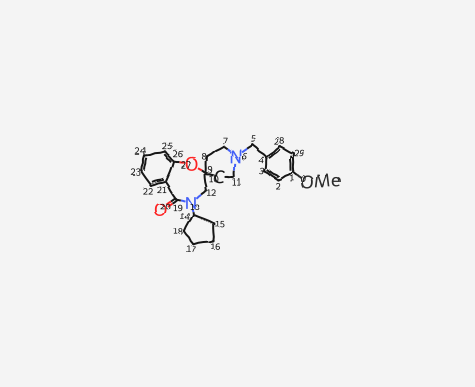 COc1ccc(CN2CCC3(CC2)CN(C2CCCC2)C(=O)c2ccccc2O3)cc1